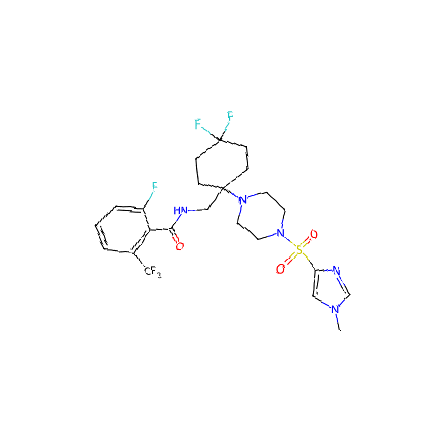 Cn1cnc(S(=O)(=O)N2CCN(C3(CNC(=O)c4c(F)cccc4C(F)(F)F)CCC(F)(F)CC3)CC2)c1